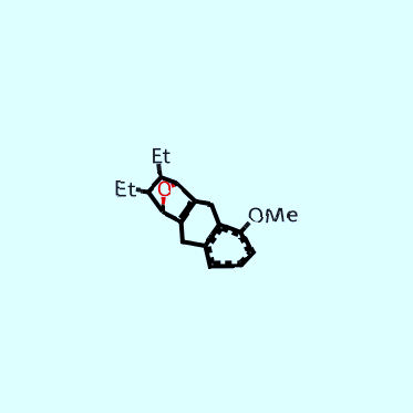 CCC1C2OC(C3=C2Cc2cccc(OC)c2C3)C1CC